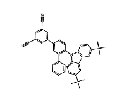 CC(C)(C)c1ccc2c(c1)c1cc(C(C)(C)C)ccc1n2-c1ccc(-c2cc(C#N)cc(C#N)c2)cc1-c1ccccc1